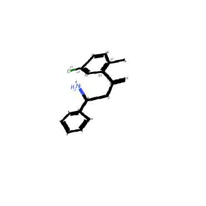 C=C(CC(N)c1ccccc1)c1cc(Cl)ccc1C